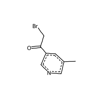 Cc1cncc(C(=O)CBr)c1